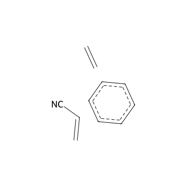 C=C.C=CC#N.c1ccccc1